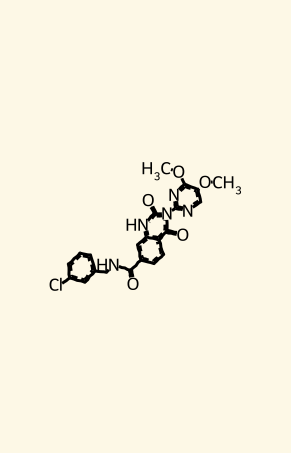 COc1cnc(-n2c(=O)[nH]c3cc(C(=O)NCc4cccc(Cl)c4)ccc3c2=O)nc1OC